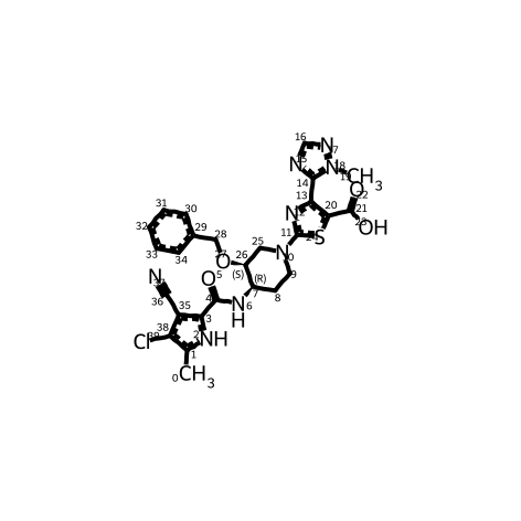 Cc1[nH]c(C(=O)N[C@@H]2CCN(c3nc(-c4ncnn4C)c(C(=O)O)s3)C[C@@H]2OCc2ccccc2)c(C#N)c1Cl